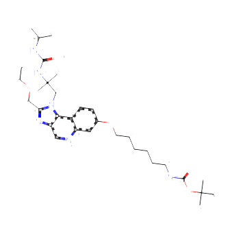 CCOCc1nc2cnc3cc(OCCCCCCNC(=O)OC(C)(C)C)ccc3c2n1CC(C)(C)NC(=O)NC(C)C